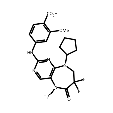 COc1cc(Nc2ncc3c(n2)N(C2CCCC2)CC(F)(F)C(=O)N3C)ccc1C(=O)O